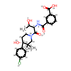 CC(O)[C@@H](NC(=O)c1cccc(C(=O)O)c1)C(=O)N1CC[C@](O)(c2ccc(Cl)cc2)C(C)(C)C1